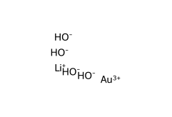 [Au+3].[Li+].[OH-].[OH-].[OH-].[OH-]